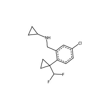 FC(F)C1(c2ccc(Cl)cc2CNC2CC2)CC1